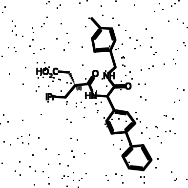 Cc1ccc(CNC(=O)C(NC(=O)[C@@H](CC(=O)O)CC(C)C)c2ccc(-c3ccccc3)cc2)cc1